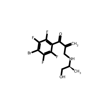 C=C(CN[C@@H](C)CO)C(=O)c1c(F)c(F)c(Br)c(F)c1F